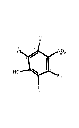 O=[N+]([O-])c1c(F)c(F)c(O)c(Cl)c1F